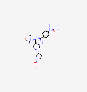 CCNC(=O)Nc1ccc(-c2nc3c(c(N4CCOCC4C)n2)CCN(C2CCN(C(=O)OC(C)(C)C)C2)C3)cc1